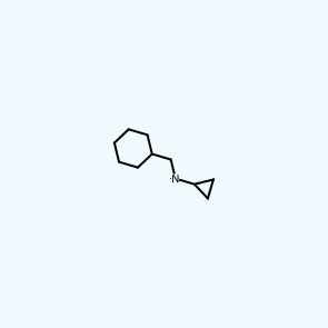 C1CCC(C[N]C2CC2)CC1